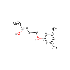 CCc1cc(CC)cc(OCCCC(=O)OC)c1